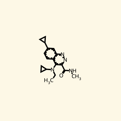 CCN(c1c(C(=O)NC)nnc2cc(C3CC3)ccc12)C1CC1